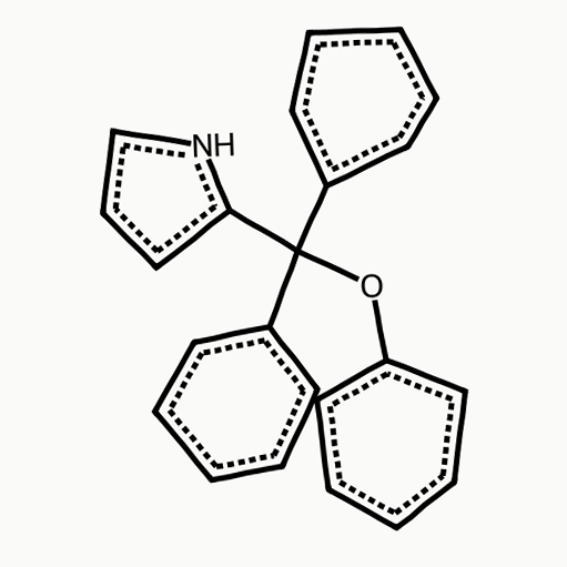 c1ccc(OC(c2ccccc2)(c2ccccc2)c2ccc[nH]2)cc1